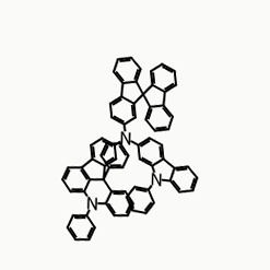 c1ccc(N2c3ccccc3C3(c4ccccc4)c4cc(N(c5ccc6c(c5)C5(c7ccccc7-c7ccccc75)c5ccccc5-6)c5ccc6c7ccccc7n(-c7ccccc7)c6c5)ccc4-c4cccc2c43)cc1